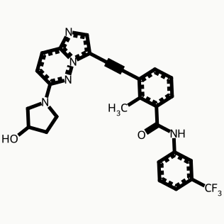 Cc1c(C#Cc2cnc3ccc(N4CCC(O)C4)nn23)cccc1C(=O)Nc1cccc(C(F)(F)F)c1